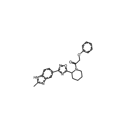 Cc1nc2cc(-c3noc(C4CCCCN4C(=O)COc4ccccc4)n3)ccc2[nH]1